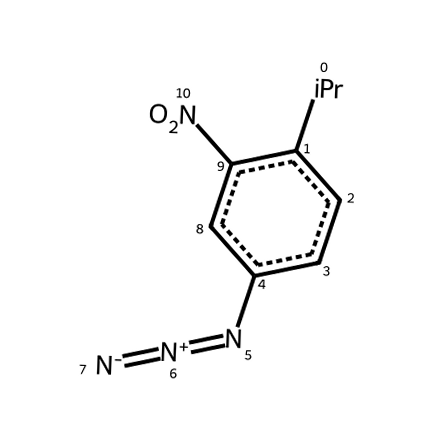 CC(C)c1ccc(N=[N+]=[N-])cc1[N+](=O)[O-]